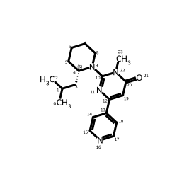 CC(C)C[C@@H]1CCCCN1c1nc(-c2ccncc2)cc(=O)n1C